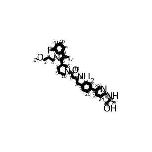 COCCCn1c(C2CCCN(C(=O)C[C@H](N)Cc3ccc(-c4ccc(N[C@H](C)CO)nc4)cc3)C2)c(C)c2cccc(F)c21